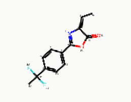 C/C=C1/N=C(c2ccc(C(C)(F)F)cc2)OC1=O